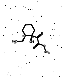 CC[C@H]1CCCC[C@]1(O)C(=O)C(=O)OC